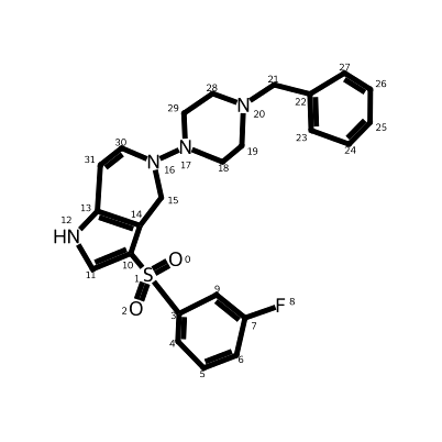 O=S(=O)(c1cccc(F)c1)c1c[nH]c2c1CN(N1CCN(Cc3ccccc3)CC1)C=C2